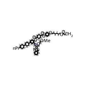 C=CC(=O)OCCCCCCOc1ccc(OC(=O)C2CCC(C(=O)Oc3ccc(C4CCC(C5CCC(CCC)CC5)CC4)cc3/C=N/N(COCCOC)c3nc4ccccc4s3)CC2)cc1